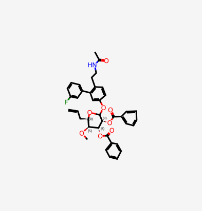 C=CC[C@H]1OC(Oc2ccc(CCNC(C)=O)c(-c3cccc(F)c3)c2)[C@H](OC(=O)c2ccccc2)[C@H](OC(=O)c2ccccc2)[C@H]1OC